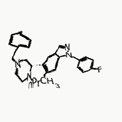 CCCN1CCN(Cc2ccccc2)C[C@@H]1c1cc2cnn(-c3ccc(F)cc3)c2cc1C